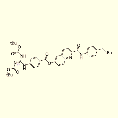 CC(C)(C)Cc1ccc(NC(=O)c2ccc3cc(OC(=O)c4ccc(N/C(=N\C(=O)OC(C)(C)C)NC(=O)OC(C)(C)C)cc4)ccc3n2)cc1